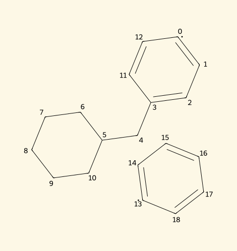 [c]1ccc(CC2CCCCC2)cc1.[c]1ccccc1